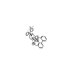 C=N/C(=N\c1c(C)cccc1-c1ccccc1Cl)N1CCN(C(=O)OC(C)(C)C)CC1